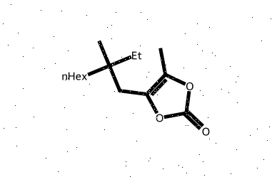 CCCCCCC(C)(CC)Cc1oc(=O)oc1C